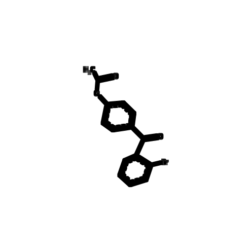 CC(=O)Oc1ccc(C(=O)c2ccccc2Br)cc1